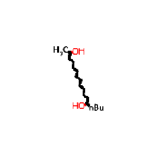 CCCCC(O)CCCCCCCCCCC(C)O